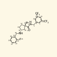 CC(C)[C@]1(C(=O)NCc2cc(C(F)(F)F)cc(C(F)(F)F)c2)CC[C@@H](NCc2ccccc2F)C1